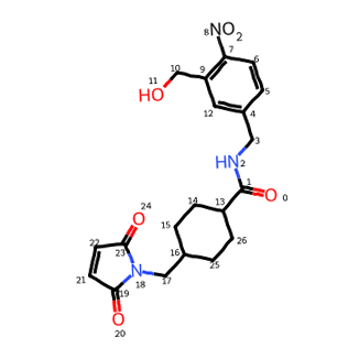 O=C(NCc1ccc([N+](=O)[O-])c(CO)c1)C1CCC(CN2C(=O)C=CC2=O)CC1